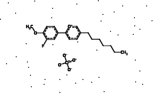 CCCCCCCc1ccc(-c2ccc(OC)c(F)c2)[o+]c1.[O-][Cl+3]([O-])([O-])[O-]